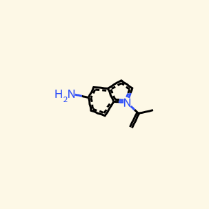 C=C(C)n1ccc2cc(N)ccc21